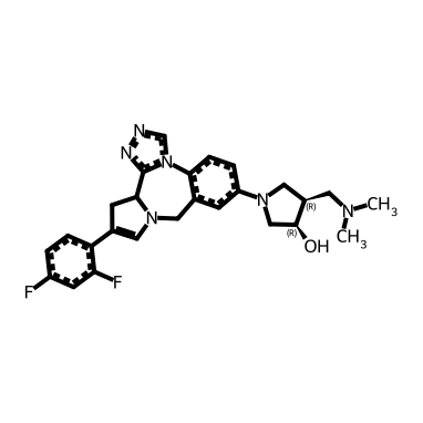 CN(C)C[C@@H]1CN(c2ccc3c(c2)CN2C=C(c4ccc(F)cc4F)CC2c2nncn2-3)C[C@@H]1O